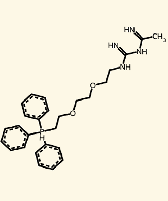 CC(=N)NC(=N)NCCOCCOCC[PH](c1ccccc1)(c1ccccc1)c1ccccc1